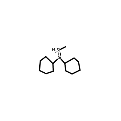 C[SiH2][SiH](C1CCCCC1)C1CCCCC1